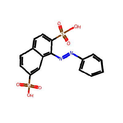 O=S(=O)(O)c1ccc2ccc(S(=O)(=O)O)c(/N=N/c3ccccc3)c2c1